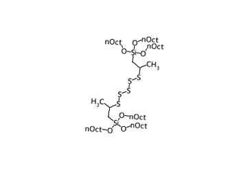 CCCCCCCCO[Si](CC(C)SSSSSC(C)C[Si](OCCCCCCCC)(OCCCCCCCC)OCCCCCCCC)(OCCCCCCCC)OCCCCCCCC